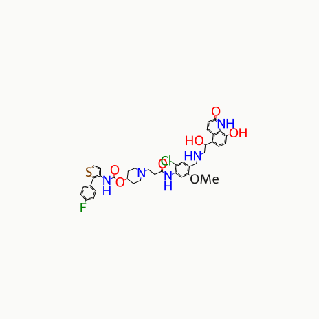 COc1cc(NC(=O)CCN2CCC(OC(=O)Nc3ccsc3-c3ccc(F)cc3)CC2)c(Cl)cc1CNCC(O)c1ccc(O)c2[nH]c(=O)ccc12